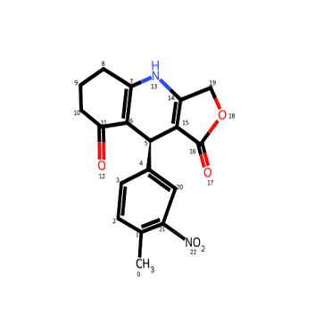 Cc1ccc([C@H]2C3=C(CCCC3=O)NC3=C2C(=O)OC3)cc1[N+](=O)[O-]